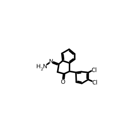 NN=C1CC(=O)C(c2ccc(Cl)c(Cl)c2)c2ccccc21